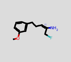 COc1cccc(CC/C=C(/N)CF)c1